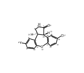 O=C1NC[C@@H]2c3c[c]([Y])ccc3Oc3ccc(Cl)cc3[C@@H]12